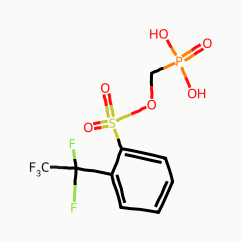 O=P(O)(O)COS(=O)(=O)c1ccccc1C(F)(F)C(F)(F)F